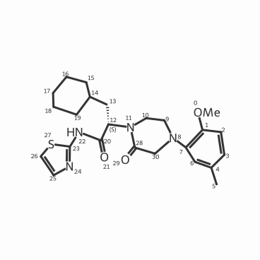 COc1ccc(C)cc1N1CCN([C@@H](CC2CCCCC2)C(=O)Nc2nccs2)C(=O)C1